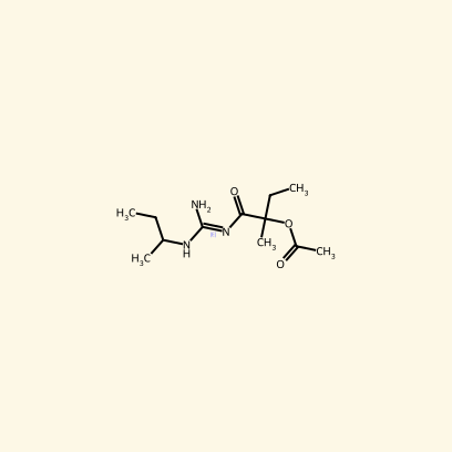 CCC(C)N/C(N)=N/C(=O)C(C)(CC)OC(C)=O